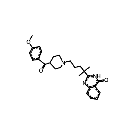 COc1ccc(C(=O)C2CCN(CCCC(C)(C)c3nc4ccccc4c(=O)[nH]3)CC2)cc1